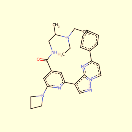 CCN(CC)C(C)CNC(=O)c1cc(-c2cnn3ccc(-c4ccccc4)nc23)nc(N2CCC2)c1